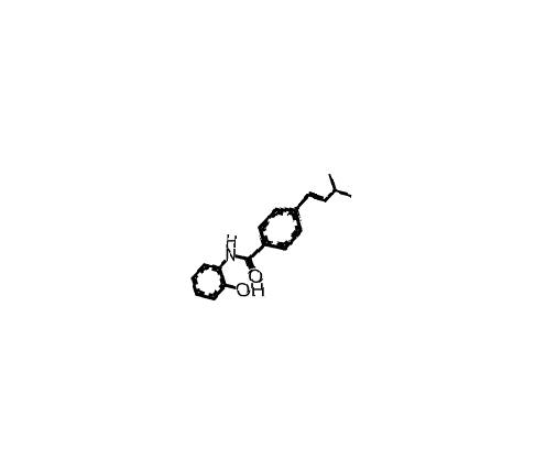 CC(C)/C=C/c1ccc(C(=O)Nc2ccccc2O)cc1